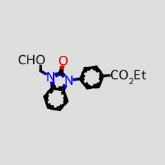 CCOC(=O)c1ccc(-n2c(=O)n(CC=O)c3ccccc32)cc1